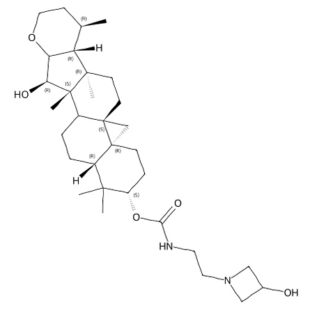 C[C@@H]1CCOC2[C@H]1[C@@]1(C)CC[C@@]34C[C@@]35CC[C@H](OC(=O)NCCN3CC(O)C3)C(C)(C)[C@@H]5CCC4[C@]1(C)[C@H]2O